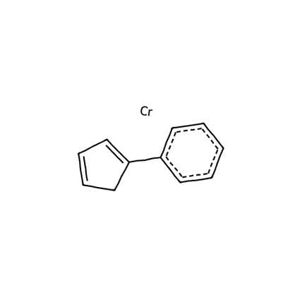 C1=CCC(c2ccccc2)=C1.[Cr]